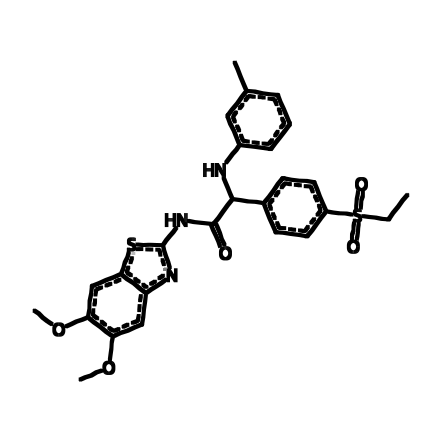 CCS(=O)(=O)c1ccc(C(Nc2cccc(C)c2)C(=O)Nc2nc3cc(OC)c(OC)cc3s2)cc1